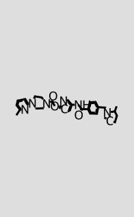 Cc1cccc(N2CCN(C(=O)Oc3ccc(NC(=O)c4ccc(CN5CCCCC5C)cc4)cn3)CC2)n1